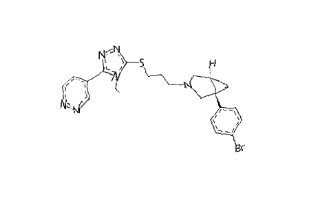 Cn1c(SCCCN2C[C@H]3C[C@]3(c3ccc(Br)cc3)C2)nnc1-c1ccnnc1